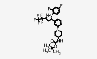 CC(C)(C)OC(=O)NC1CCN(c2cccc(C3CC(C(F)(F)C(F)(F)F)=NN3c3ccc(F)cc3F)c2)CC1